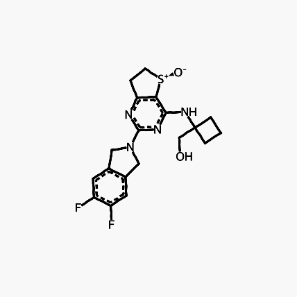 [O-][S@+]1CCc2nc(N3Cc4cc(F)c(F)cc4C3)nc(NC3(CO)CCC3)c21